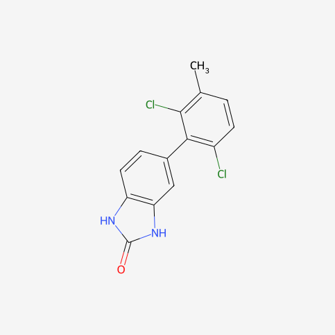 Cc1ccc(Cl)c(-c2ccc3[nH]c(=O)[nH]c3c2)c1Cl